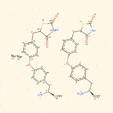 N[C@@H](Cc1ccc(Oc2ccc(CC3SC(=O)NC3=O)cc2)cc1)C(=O)[O-].N[C@@H](Cc1ccc(Oc2ccc(CC3SC(=O)NC3=O)cc2)cc1)C(=O)[O-].[Na+].[Na+]